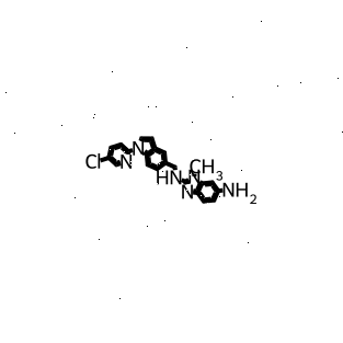 Cn1c(NCc2ccc3c(ccn3-c3ccc(Cl)cn3)c2)nc2ccc(N)cc21